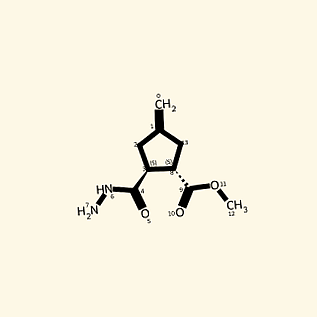 C=C1C[C@H](C(=O)NN)[C@@H](C(=O)OC)C1